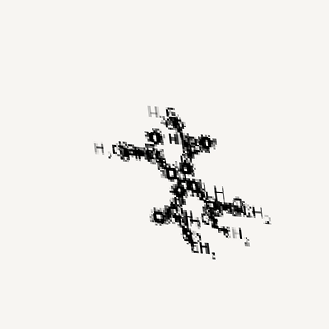 C=C/C=C\C=C(/C)SCC(COc1ccc(C(=C(c2ccc(OCC(CSc3ccccc3)OC(=O)NCCOC(=O)C=C)cc2)c2ccc(OCC(CSc3ccccc3)OC(=O)NCCOC(=O)C=C)cc2)c2ccc(OCC(CSc3ccccc3)OC(=O)NCCOC(=O)C=C)cc2)cc1)OC(=O)NCCOC(=O)C=C